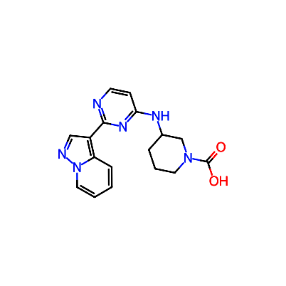 O=C(O)N1CCCC(Nc2ccnc(-c3cnn4ccccc34)n2)C1